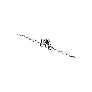 CCCCCCCCCCCCOC(=N)CC(=O)OCCCCCCCCCCCC.Cl